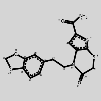 NC(=O)c1cc2c(s1)SCC(=O)N2CCc1ccc2c(c1)OCO2